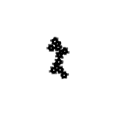 c1ccc(-c2ccc(-n3ccc4cc(-c5ccc6c(c5)c5ccccc5n6-c5nc(-c6ccccc6)c6c(n5)oc5ccccc56)ccc43)c(-c3ccccc3)c2)cc1